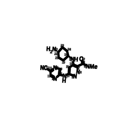 CNC(=O)c1nnc(Nc2cnc(C#N)cn2)cc1N[C@H]1CC[C@H](N)CC1